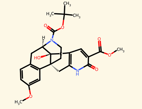 COC(=O)c1cc2c([nH]c1=O)C[C@]13CCN(C(=O)OC(C)(C)C)[C@H](Cc4ccc(OC)cc41)[C@]3(O)C2